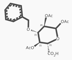 CC(=O)OC1O[C@H](C(=O)O)[C@@H](OC(C)=O)[C@H](OCc2ccccc2)[C@H]1OC(C)=O